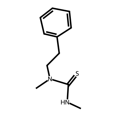 CNC(=S)N(C)CCc1ccccc1